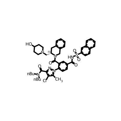 CCCCN(CCCC)C(=O)c1nn(-c2ccc(C(=O)NS(=O)(=O)c3ccc4ccccc4c3)cc2C(=O)N2Cc3ccccc3C[C@H]2CN2CCC(O)CC2)c(C)c1Cl